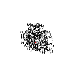 CON1C(C)(C)CC(CCCN(CCN(CCCC2CC(C)(C)N(OC)C(C)(C)C2)c2nc(N(C)C3CC(C)(C)NC(C)(C)C3)nc(N(C)C3CC(C)(C)NC(C)(C)C3)n2)c2nc(N(C)C3CC(C)(C)NC(C)(C)C3)nc(N(C)C3CC(C)(C)NC(C)(C)C3)n2)CC1(C)C